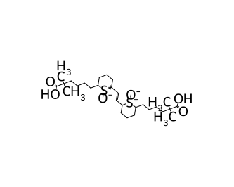 CC(C)(CCCCC1CCCC(C=CC2CCCC(CCCCC(C)(C)C(=O)O)[S+]2[O-])[S+]1[O-])C(=O)O